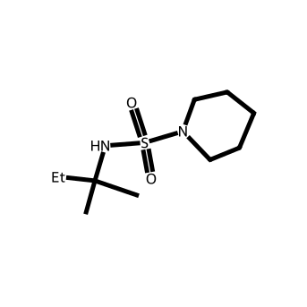 CCC(C)(C)NS(=O)(=O)N1CCCCC1